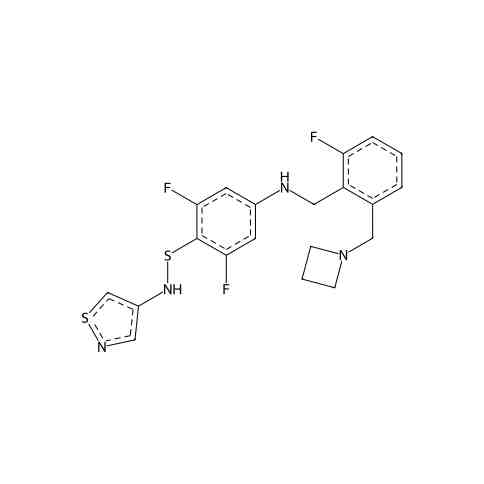 Fc1cccc(CN2CCC2)c1CNc1cc(F)c(SNc2cnsc2)c(F)c1